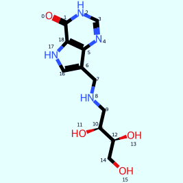 O=c1[nH]cnc2c(CNC[C@H](O)[C@@H](O)CO)c[nH]c12